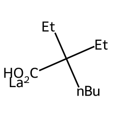 CCCCC(CC)(CC)C(=O)O.[La]